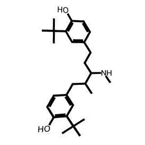 CNC(CCc1ccc(O)c(C(C)(C)C)c1)C(C)Cc1ccc(O)c(C(C)(C)C)c1